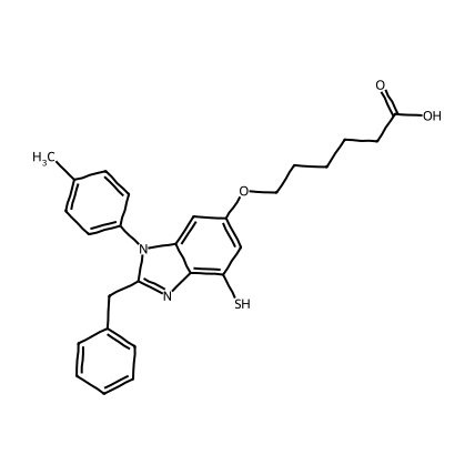 Cc1ccc(-n2c(Cc3ccccc3)nc3c(S)cc(OCCCCCC(=O)O)cc32)cc1